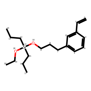 C=Cc1cccc(CCCO[Si](CCC)(CCC)OCC)c1